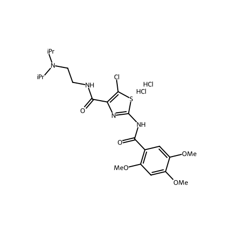 COc1cc(OC)c(C(=O)Nc2nc(C(=O)NCCN(C(C)C)C(C)C)c(Cl)s2)cc1OC.Cl.Cl